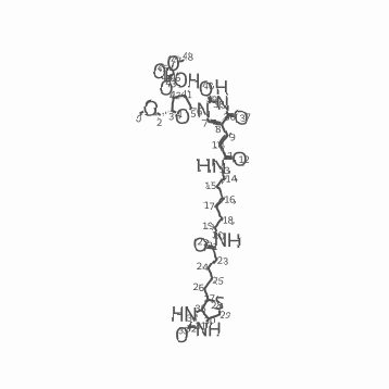 COC[C@H]1O[C@@H](n2cc(/C=C/C(=O)NCCCCCCNC(=O)CCCCC3SCC4NC(=O)NC43)c(=O)[nH]c2=O)CC1OP(=O)(O)OC